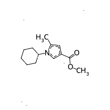 COC(=O)c1cc(C)n(C2CCCCC2)c1